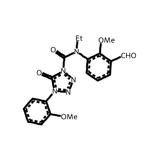 CCN(C(=O)n1nnn(-c2ccccc2OC)c1=O)c1cccc(C=O)c1OC